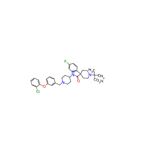 CC(C)(C(=O)O)N1CCC(C(=O)NC2CCN(Cc3cccc(Oc4ccccc4Cl)c3)CC2)(c2ccc(F)cc2)CC1